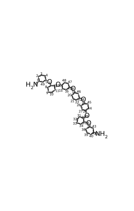 Nc1cccc(Oc2ccccc2Oc2ccc(Oc3cccc(Oc4ccc(Oc5ccccc5Oc5cccc(N)c5)cc4)c3)cc2)c1